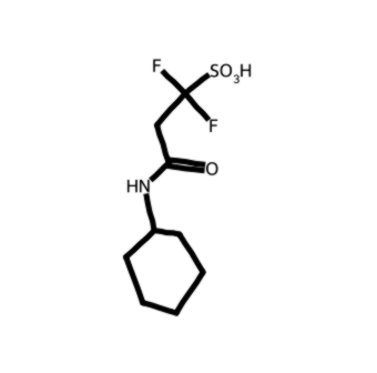 O=C(CC(F)(F)S(=O)(=O)O)NC1CCCCC1